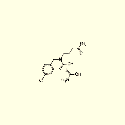 NC(=O)CCCN(Cc1ccc(Cl)cc1)C(O)=S.NC(O)=S